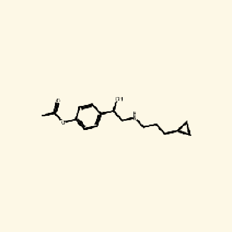 CC(=O)Oc1ccc(C(O)CNCCCC2CC2)cc1